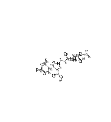 COC(=O)C1CN(CCC(=O)NNC(=O)OC(C)(C)C)C[C@H]1c1ccc(F)cc1F